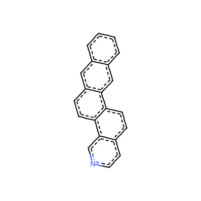 c1ccc2cc3c(ccc4c5cnccc5ccc34)cc2c1